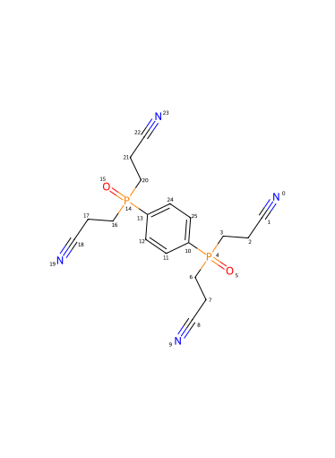 N#CCCP(=O)(CCC#N)c1ccc(P(=O)(CCC#N)CCC#N)cc1